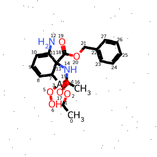 CCO[As](=O)(OO)C1C=CC=C(N)C1(NC(C)=O)C(=O)OCc1ccccc1